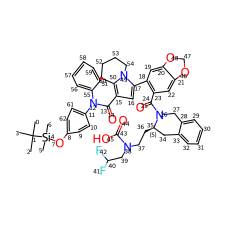 CC(C)(C)[Si](C)(C)Oc1ccc(N(C(=O)c2cc(-c3cc4c(cc3C(=O)N3Cc5ccccc5C[C@H]3CCN(CC(F)F)C(=O)O)OCO4)n3c2CCCC3)c2ccccc2)cc1